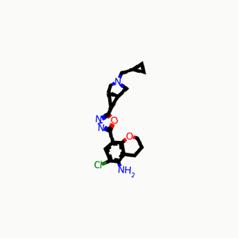 Nc1c(Cl)cc(-c2nnc(C3C4CN(CC5CC5)CC43)o2)c2c1CCCO2